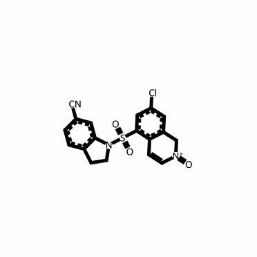 N#Cc1ccc2c(c1)N(S(=O)(=O)c1cc(Cl)cc3c1C=C[N+](=O)C3)CC2